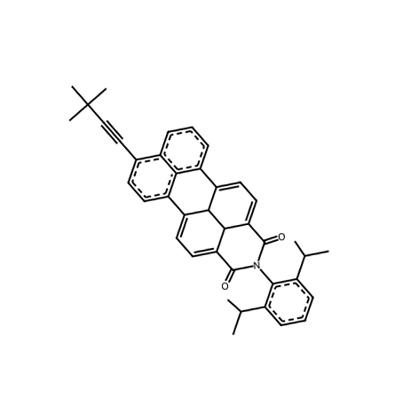 CC(C)c1cccc(C(C)C)c1N1C(=O)C2=CC=C3c4cccc5c(C#CC(C)(C)C)ccc(c45)C4=CC=C(C1=O)C2C34